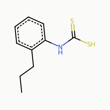 CCCc1ccccc1NC(=S)S